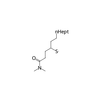 CCCCCCCCCC([S])CCC(=O)N(C)C